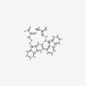 C=C(C)C(=O)OCCn1c2ccccc2c2cc(-c3cccc4c5ccccc5n(CCOC(=O)C(C)(C)C)c34)ccc21